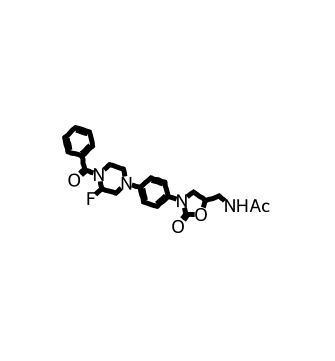 CC(=O)NCC1CN(c2ccc(N3CCN(C(=O)c4ccccc4)C(F)C3)cc2)C(=O)O1